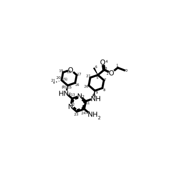 CCOC(=O)[C@]1(C)CC[C@@H](Nc2nc(N[C@@H]3CCOC[C@H]3C)ncc2N)CC1